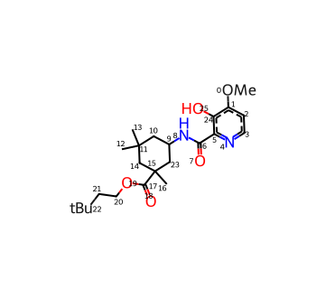 COc1ccnc(C(=O)NC2CC(C)(C)CC(C)(C(=O)OCCC(C)(C)C)C2)c1O